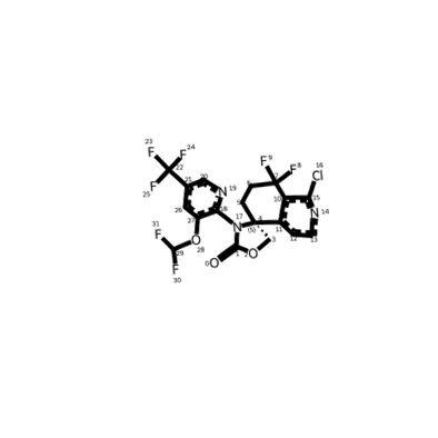 O=C1OC[C@@]2(CCC(F)(F)c3c2ccnc3Cl)N1c1ncc(C(F)(F)F)cc1OC(F)F